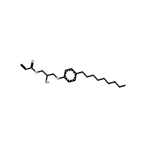 C=CC(=O)OCC(O)COc1ccc(CCCCCCCCC)cc1